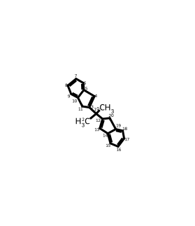 CC(C)(C1=Cc2ccccc2[CH]1)C1=Cc2ccccc2[CH]1